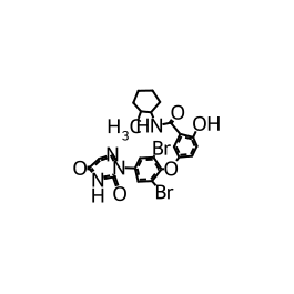 CC1CCCCC1NC(=O)c1cc(Oc2c(Br)cc(-n3ncc(=O)[nH]c3=O)cc2Br)ccc1O